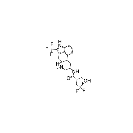 CN1CC(NC(=O)C(CO)CC(F)(F)F)CC2c3cccc4[nH]c(C(F)(F)F)c(c34)C[C@H]21